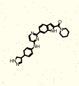 O=C(c1cc2ccc(-c3nccc(NC4=CCC(C5C=NNC5)C=C4)n3)cc2[nH]1)N1CCCCC1